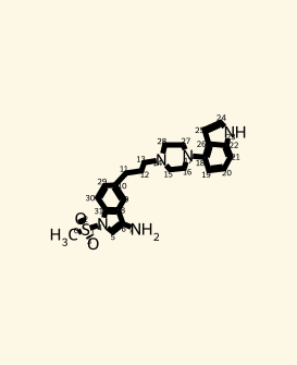 CS(=O)(=O)n1cc(N)c2cc(CCCN3CCN(c4cccc5[nH]ccc45)CC3)ccc21